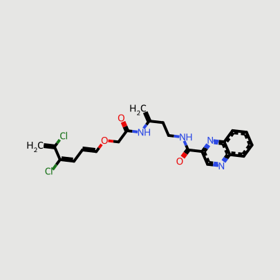 C=C(CCNC(=O)c1cnc2ccccc2n1)NC(=O)CO/C=C/C=C(/Cl)C(=C)Cl